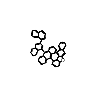 C1=Cc2cc(-c3cccc4ccccc34)cc(-c3c4ccccc4c(-c4cccc5oc6cc7ccccc7cc6c45)c4ccccc34)c2CC1